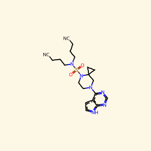 N#CCCCN(CCCC#N)S(=O)(=O)N1CCN(c2ncnc3[nH]ccc23)CC12CC2